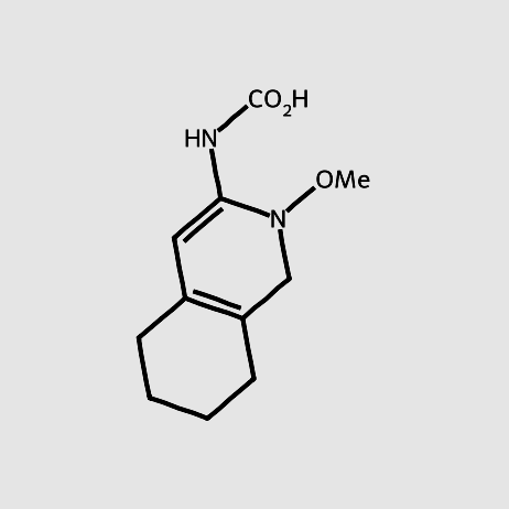 CON1CC2=C(C=C1NC(=O)O)CCCC2